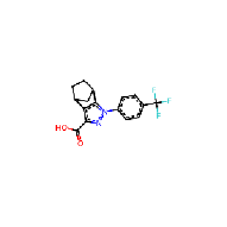 O=C(O)c1nn(-c2ccc(C(F)(F)F)cc2)c2c1C1CCC2C1